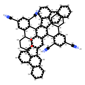 N#Cc1cc(C#N)c(-c2c3cc4c(cc3c(-c3c(C#N)cc(C#N)cc3C3CCCCC3)c3c5cc6ccccc6c6cccc(c23)c65)c2cc3ccccc3c3cccc4c32)c(C2CCCCC2)c1